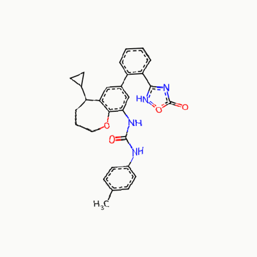 Cc1ccc(NC(=O)Nc2cc(-c3ccccc3-c3nc(=O)o[nH]3)cc3c2OCCCC3C2CC2)cc1